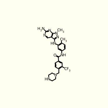 Cc1ccc(NC(=O)c2ccc(CN3CCNCC3)c(C(F)(F)F)c2)cc1Nc1nn(C)c2nc(N)ncc12